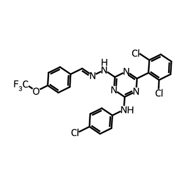 FC(F)(F)Oc1ccc(C=NNc2nc(Nc3ccc(Cl)cc3)nc(-c3c(Cl)cccc3Cl)n2)cc1